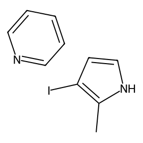 Cc1[nH]ccc1I.c1ccncc1